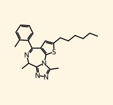 CCCCCCc1cc2c(s1)-n1c(C)nnc1C(C)N=C2c1ccccc1C